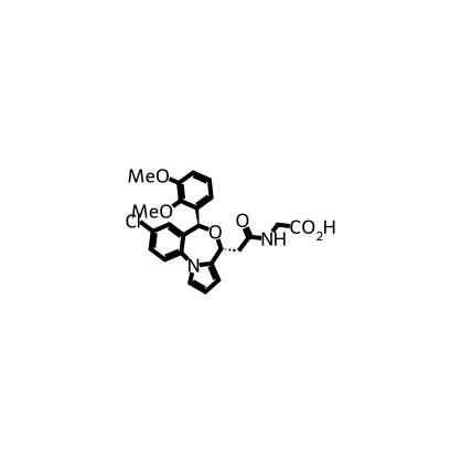 COc1cccc([C@H]2O[C@H](CC(=O)NCC(=O)O)c3cccn3-c3ccc(Cl)cc32)c1OC